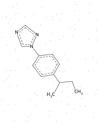 CCC(C)c1ccc(-n2cncn2)cc1